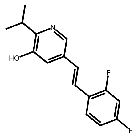 CC(C)c1ncc(C=Cc2ccc(F)cc2F)cc1O